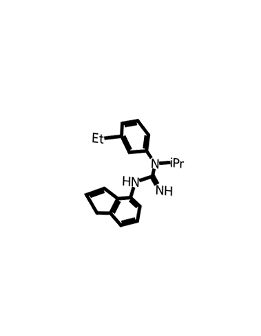 CCc1cccc(N(C(=N)Nc2cccc3c2C=CC3)C(C)C)c1